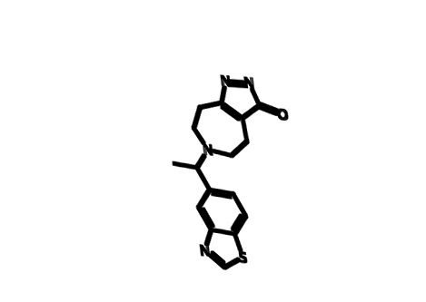 CC(c1ccc2scnc2c1)N1CCC2=C(CC1)C(=O)N=N2